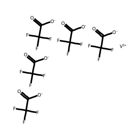 O=C([O-])C(F)(F)F.O=C([O-])C(F)(F)F.O=C([O-])C(F)(F)F.O=C([O-])C(F)(F)F.O=C([O-])C(F)(F)F.[V+5]